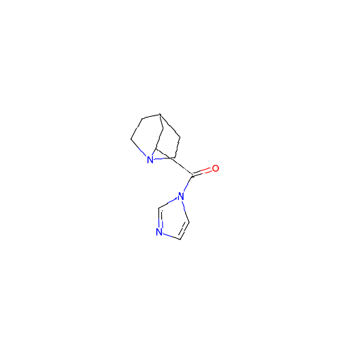 O=C(C1CC2CCN1CC2)n1ccnc1